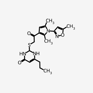 CCCC1=CC(=O)NC(SCC(=O)c2cc(C)n(-c3cc(C)on3)c2C)N1